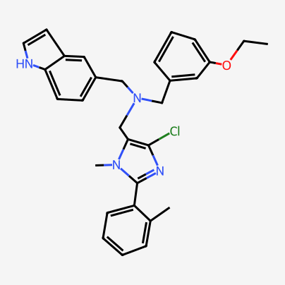 CCOc1cccc(CN(Cc2ccc3[nH]ccc3c2)Cc2c(Cl)nc(-c3ccccc3C)n2C)c1